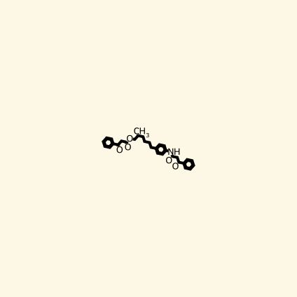 CC(CCCCc1ccc(NC(=O)CC(=O)c2ccccc2)cc1)COC(=O)CC(=O)c1ccccc1